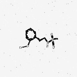 CCOc1ccccc1CCNS(C)(=O)=O